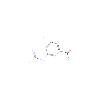 Cl.N=C(N)Nc1cccc(C(N)=O)c1